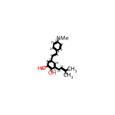 CNc1ccc(C=Cc2cc(O)c(O)c(CC=C(C)C)c2)cc1